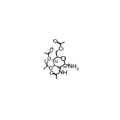 CC(=O)N[C@H]1C(OC(C)=O)[C@H](OC(C)=O)C(COC(C)=O)O[C@H]1N